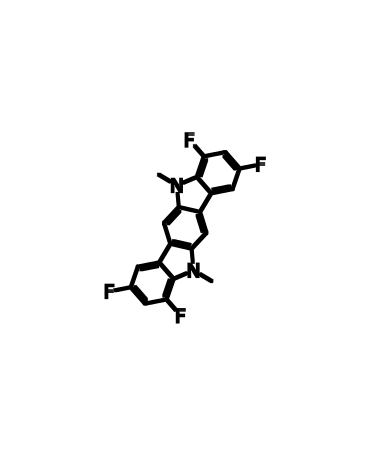 Cn1c2cc3c4cc(F)cc(F)c4n(C)c3cc2c2cc(F)cc(F)c21